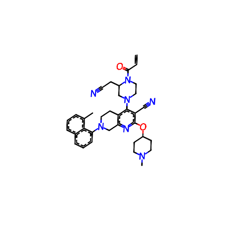 C=CC(=O)N1CCN(c2c(C#N)c(OC3CCN(C)CC3)nc3c2CCN(c2cccc4cccc(C)c24)C3)CC1CC#N